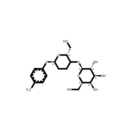 Cc1ccc(O[C@@H]2CCC(O[C@@H]3O[C@H](CO)[C@H](O)[C@H](O)[C@H]3O)[C@@H](CO)O2)cc1